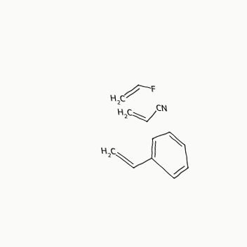 C=CC#N.C=CF.C=Cc1ccccc1